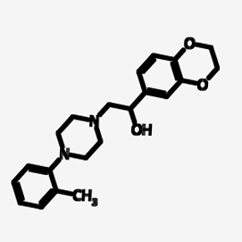 Cc1ccccc1N1CCN(CC(O)c2ccc3c(c2)OCCO3)CC1